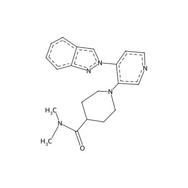 CN(C)C(=O)C1CCN(c2cnccc2-n2cc3ccccc3n2)CC1